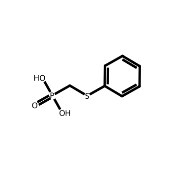 O=P(O)(O)CSc1ccccc1